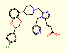 O=C(O)C=Cc1cnc(CN2CCC(c3cccc4c3OCC(c3ccc(Cl)cc3)O4)CC2)n1Cc1cccnc1